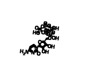 Nc1ccn([C@@H]2O[C@H](COP(=O)(O)OP(=O)(O)OP(=O)(O)OP(=O)(O)O)C(O)C2O)c(=O)n1